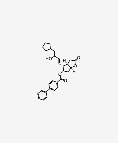 O=C1C[C@@H]2[C@@H](C=CC(O)CC3CCCC3)[C@H](OC(=O)c3ccc(-c4ccccc4)cc3)C[C@@H]2O1